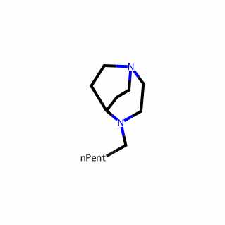 CCCCCCN1CCN2CCC1CC2